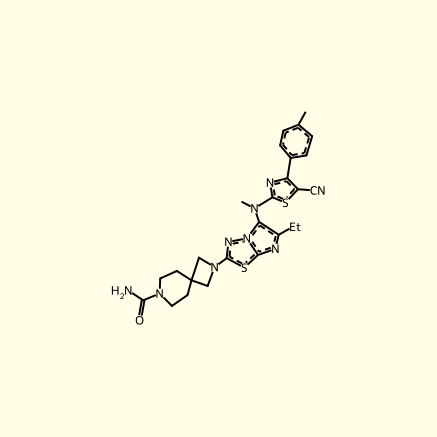 CCc1nc2sc(N3CC4(CCN(C(N)=O)CC4)C3)nn2c1N(C)c1nc(-c2ccc(C)cc2)c(C#N)s1